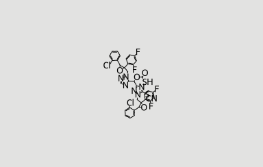 N#CSc1nc(C(OC(=O)S)c2ncnn2CC2(c3ccc(F)cc3F)OC2c2ccccc2Cl)nn1CC1(c2ccc(F)cc2F)OC1c1ccccc1Cl